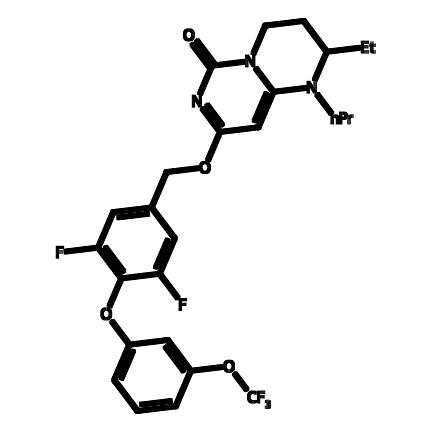 CCCN1c2cc(OCc3cc(F)c(Oc4cccc(OC(F)(F)F)c4)c(F)c3)nc(=O)n2CCC1CC